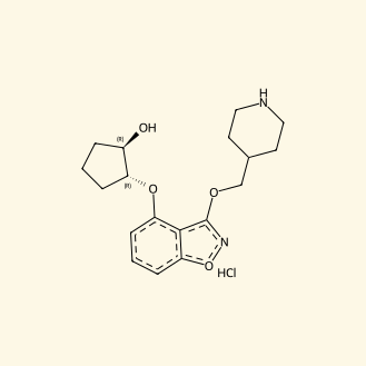 Cl.O[C@@H]1CCC[C@H]1Oc1cccc2onc(OCC3CCNCC3)c12